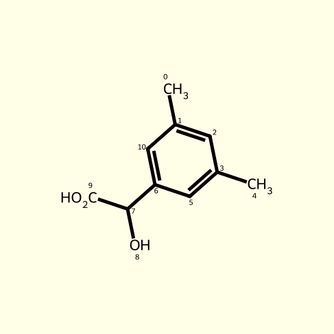 Cc1cc(C)cc(C(O)C(=O)O)c1